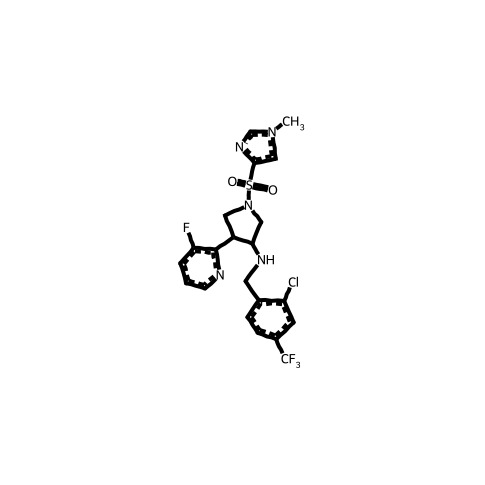 Cn1cnc(S(=O)(=O)N2CC(NCc3ccc(C(F)(F)F)cc3Cl)C(c3ncccc3F)C2)c1